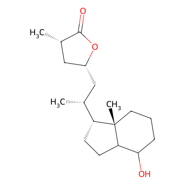 C[C@H](C[C@@H]1C[C@H](C)C(=O)O1)[C@H]1CCC2C(O)CCC[C@]21C